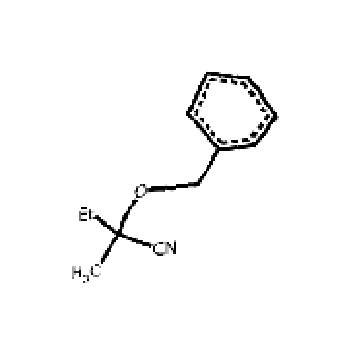 CCC(C)(C#N)OCc1ccccc1